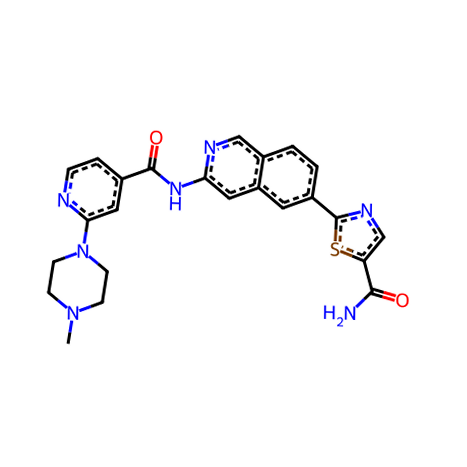 CN1CCN(c2cc(C(=O)Nc3cc4cc(-c5ncc(C(N)=O)s5)ccc4cn3)ccn2)CC1